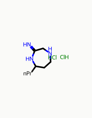 CCCC1CCNCC(=N)N1.Cl.Cl